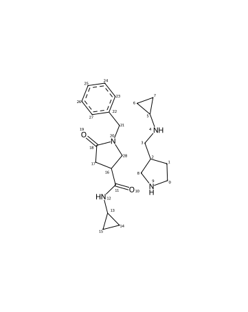 C1CC(CNC2CC2)CN1.O=C(NC1CC1)C1CC(=O)N(Cc2ccccc2)C1